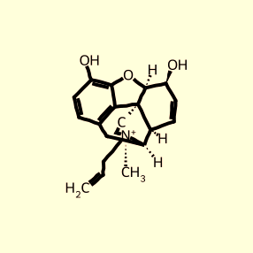 C=CC[N@@+]1(C)CC[C@]23c4c5ccc(O)c4O[C@H]2[C@@H](O)C=C[C@H]3[C@H]1C5